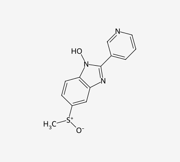 C[S+]([O-])c1ccc2c(c1)nc(-c1cccnc1)n2O